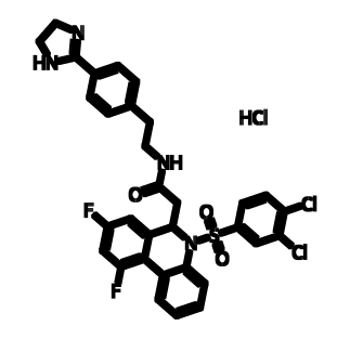 Cl.O=C(CC1c2cc(F)cc(F)c2-c2ccccc2N1S(=O)(=O)c1ccc(Cl)c(Cl)c1)NCCc1ccc(C2=NCCN2)cc1